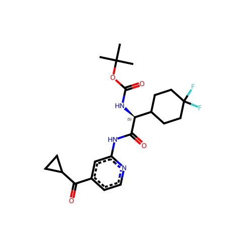 CC(C)(C)OC(=O)N[C@H](C(=O)Nc1cc(C(=O)C2CC2)ccn1)C1CCC(F)(F)CC1